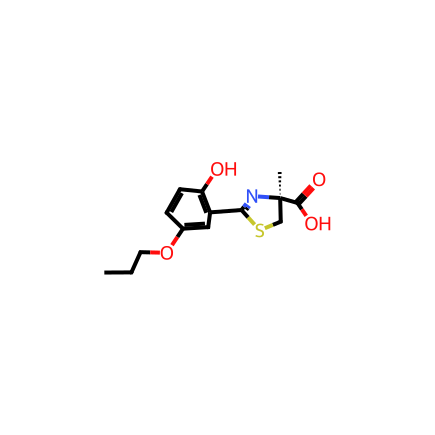 CCCOc1ccc(O)c(C2=N[C@@](C)(C(=O)O)CS2)c1